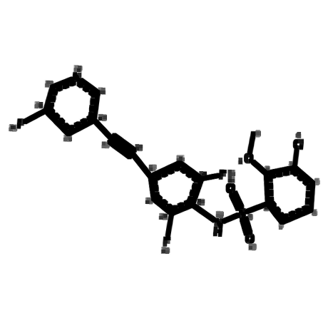 COc1c(Cl)cccc1S(=O)(=O)Nc1c(F)cc(C#Cc2cncc(F)c2)cc1F